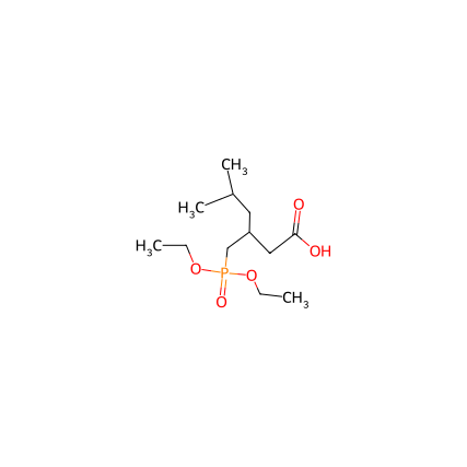 CCOP(=O)(CC(CC(=O)O)CC(C)C)OCC